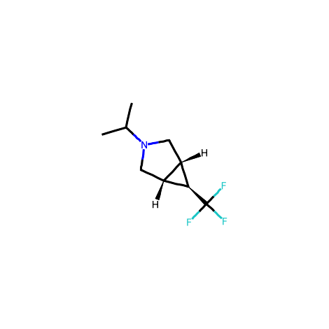 CC(C)N1C[C@@H]2[C@H](C1)[C@H]2C(F)(F)F